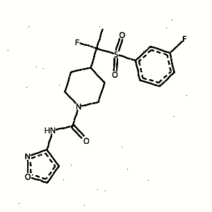 CC(F)(C1CCN(C(=O)Nc2ccon2)CC1)S(=O)(=O)c1cccc(F)c1